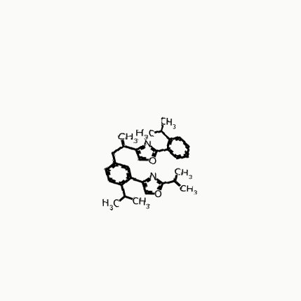 CC(C)c1nc(-c2cc(CC(C)c3coc(-c4ccccc4C(C)C)n3)ccc2C(C)C)co1